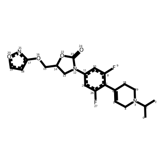 CC(C)N1CC=C(c2c(F)cc(N3CC(COc4ccon4)OC3=O)cc2F)CC1